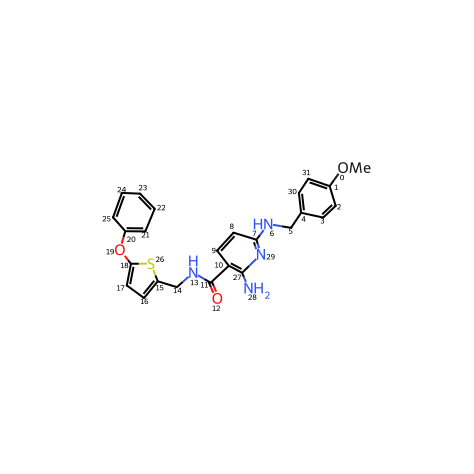 COc1ccc(CNc2ccc(C(=O)NCc3ccc(Oc4ccccc4)s3)c(N)n2)cc1